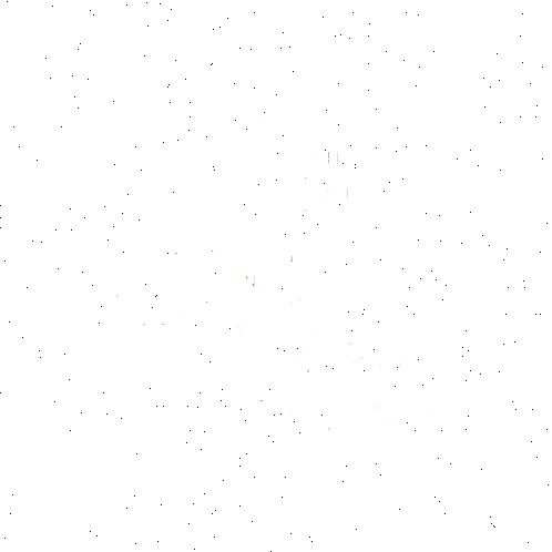 CC1(C)c2ccccc2-c2cc(N(c3ccc4ccccc4c3)c3ccc4c(ccc5ccc6c7ccccc7[se]c6c54)c3)ccc21